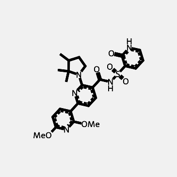 COc1ccc(-c2ccc(C(=O)NS(=O)(=O)c3ccc[nH]c3=O)c(N3CCC(C)C3(C)C)n2)c(OC)n1